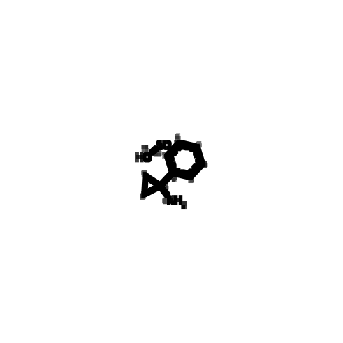 NC1(c2ccccc2)CC1.O=S(=O)(O)O